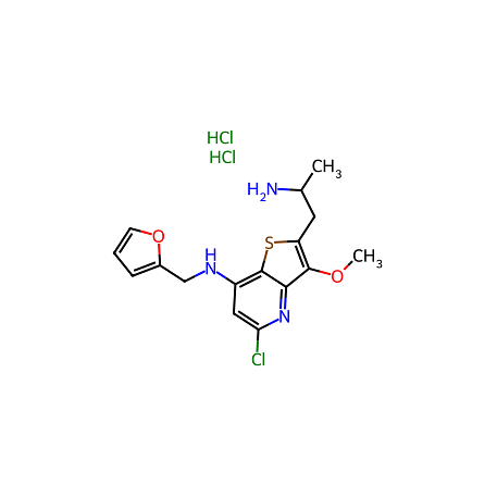 COc1c(CC(C)N)sc2c(NCc3ccco3)cc(Cl)nc12.Cl.Cl